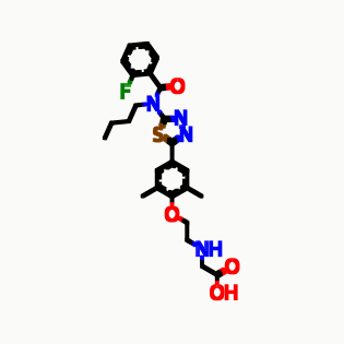 CCCCN(C(=O)c1ccccc1F)c1nnc(-c2cc(C)c(OCCNCC(=O)O)c(C)c2)s1